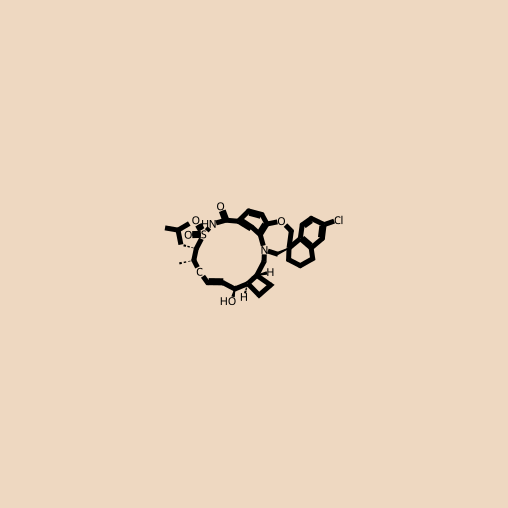 CC(C)C[C@H]1[C@@H](C)C/C=C/[C@H](O)[C@@H]2CC[C@H]2CN2C[C@@]3(CCCc4cc(Cl)ccc43)COc3ccc(cc32)C(=O)NS1(=O)=O